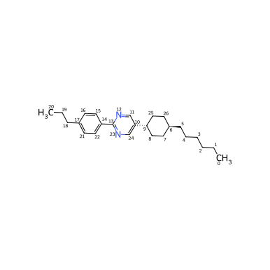 CCCCCC[C@H]1CC[C@H](c2cnc(-c3ccc(CCC)cc3)nc2)CC1